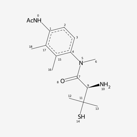 CC(=O)Nc1ccc(N(C)C(=O)[C@@H](N)C(C)(C)S)c(C)c1C